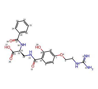 N=C(N)NCCOc1ccc(C(=O)NC[C@H](NC(=O)c2ccccc2)C(=O)O)c(O)c1